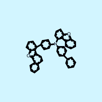 c1ccc(-c2ccc(N(c3ccc(-c4cccc5oc6c7ccccc7ccc6c45)cc3)c3cccc4oc5ccccc5c34)cc2)cc1